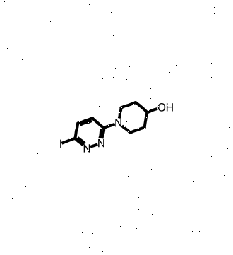 OC1CCN(c2ccc(I)nn2)CC1